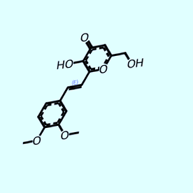 COc1ccc(/C=C/c2oc(CO)cc(=O)c2O)cc1OC